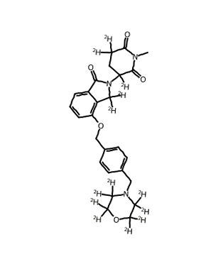 [2H]C1([2H])CC([2H])(N2C(=O)c3cccc(OCc4ccc(CN5C([2H])([2H])C([2H])([2H])OC([2H])([2H])C5([2H])[2H])cc4)c3C2([2H])[2H])C(=O)N(C)C1=O